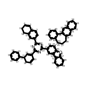 C1=Cc2ccc(-c3nc(C4=CC(c5ccccc5)CC=C4)nc(-c4cc([C@H]5CCc6cc7ccccc7cc6-c6ccccc65)c5oc6ccccc6c5c4)n3)cc2CC1